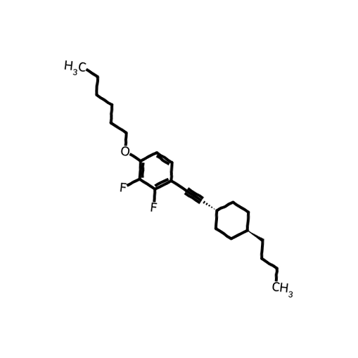 CCCCCCOc1ccc(C#C[C@H]2CC[C@H](CCCC)CC2)c(F)c1F